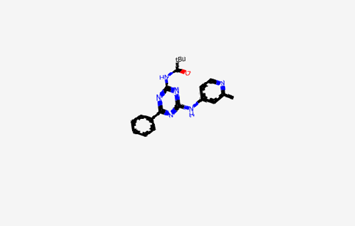 Cc1cc(Nc2nc(NC(=O)C(C)(C)C)nc(-c3ccccc3)n2)ccn1